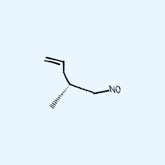 C=C[C@@H](C)CN=O